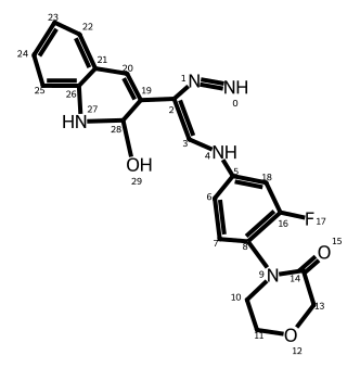 N=N/C(=C\Nc1ccc(N2CCOCC2=O)c(F)c1)C1=Cc2ccccc2NC1O